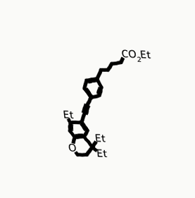 CCOC(=O)CCCCc1ccc(C#Cc2cc3c(cc2CC)OCCC3(CC)CC)cc1